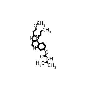 CCCn1c(CCOC)nc2cnc3cc(OC(=O)NC(C)C)ccc3c21